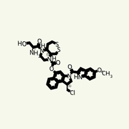 COc1ccc2[nH]c(C(=O)N3C[C@@H](CCl)c4c3cc(OC(=O)N3CCN(C(=O)[C@H](N)CO)[C@@H]5CCSSC[C@H]53)c3ccccc43)cc2c1